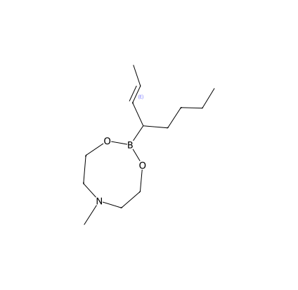 C/C=C/C(CCCC)B1OCCN(C)CCO1